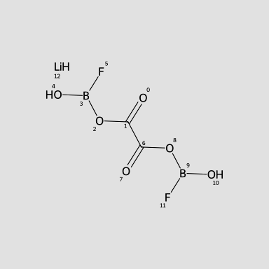 O=C(OB(O)F)C(=O)OB(O)F.[LiH]